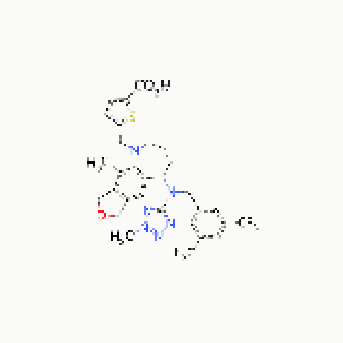 Cc1c2c(cc3c1N(Cc1ccc(C(=O)O)s1)CCCC3N(Cc1cc(C(F)(F)F)cc(C(F)(F)F)c1)c1nnn(C)n1)COC2